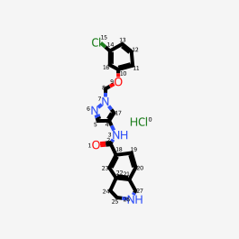 Cl.O=C(Nc1cnn(COc2cccc(Cl)c2)c1)c1ccc2c(c1)CCNC2